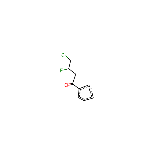 O=C(CC(F)CCl)c1ccccc1